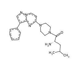 CC(C)C[C@H](N)C(=O)N1CCN(c2ccn3ncc(-c4ccccc4)c3n2)CC1